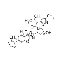 Cc1cc(C(C(=O)N2C[C@H](O)CC2C2=NC(=O)[C@](C)(c3ccc(-c4scnc4C)cc3)N2)C(C)C)sn1